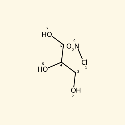 O=[N+]([O-])Cl.OCC(O)CO